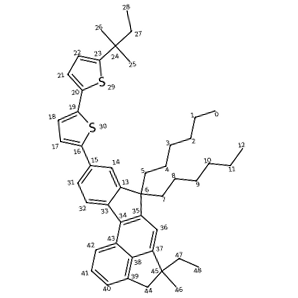 CCCCCCC1(CCCCCC)c2cc(-c3ccc(-c4ccc(C(C)(C)CC)s4)s3)ccc2-c2c1cc1c3c(cccc23)CC1(C)CC